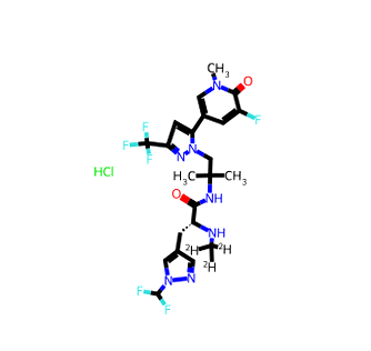 Cl.[2H]C([2H])([2H])N[C@H](Cc1cnn(C(F)F)c1)C(=O)NC(C)(C)Cn1nc(C(F)(F)F)cc1-c1cc(F)c(=O)n(C)c1